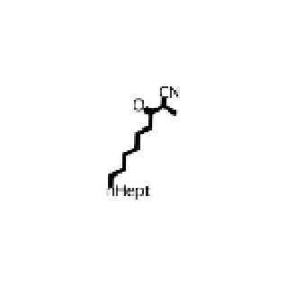 CCCCCCCCCCCCCC(=O)C(C)C#N